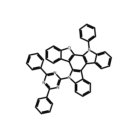 c1ccc(-c2nc(-c3ccccc3)nc(-n3c4ccccc4c4c5c6ccccc6n(-c6ccccc6)c5c5oc6ccccc6c5c43)n2)cc1